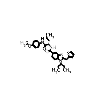 CCC[C@H](NC(=O)c1ccc2c(c1)nc(Cc1cccs1)n2C(CC)CC)C(=O)Nc1ccc(OC)cc1